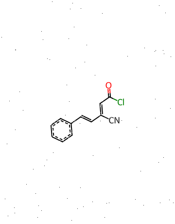 N#CC(C=Cc1ccccc1)=CC(=O)Cl